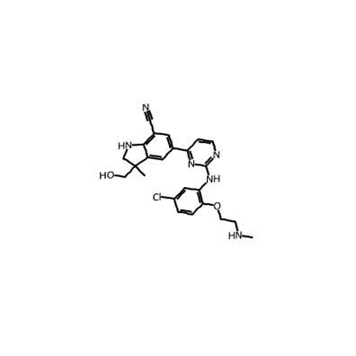 CNCCOc1ccc(Cl)cc1Nc1nccc(-c2cc(C#N)c3c(c2)C(C)(CO)CN3)n1